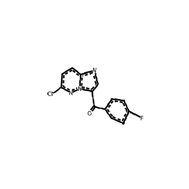 O=C(c1ccc(F)cc1)c1cnc2ccc(Cl)nn12